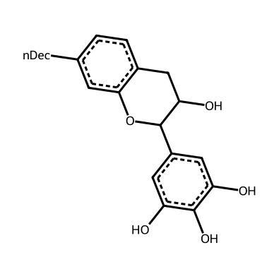 CCCCCCCCCCc1ccc2c(c1)OC(c1cc(O)c(O)c(O)c1)C(O)C2